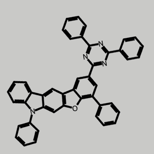 c1ccc(-c2nc(-c3ccccc3)nc(-c3cc(-c4ccccc4)c4oc5cc6c(cc5c4c3)c3ccccc3n6-c3ccccc3)n2)cc1